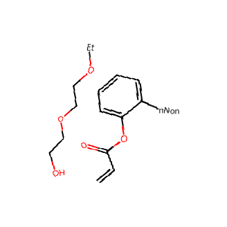 C=CC(=O)Oc1ccccc1CCCCCCCCC.CCOCCOCCO